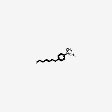 CN(C)c1ccc(CCC=CCCI)cc1